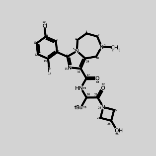 CN1CCCn2c(-c3cc(Cl)ccc3F)nc(C(=O)NC(C(=O)N3CC(O)C3)C(C)(C)C)c2C1